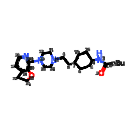 CCCCC(=O)N[C@H]1CC[C@H](CCN2CCN(c3nccc4c3OCC4)CC2)CC1